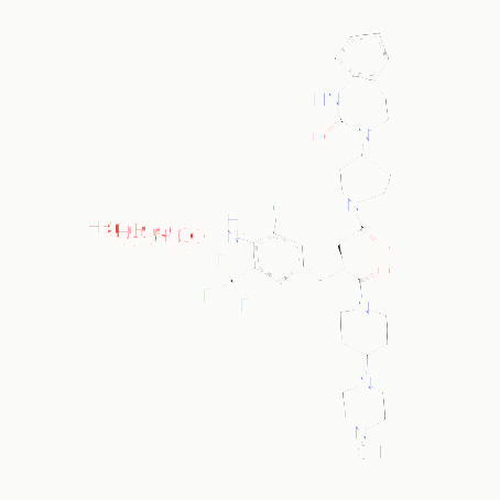 Br.CN1CCN(C2CCN(C(=O)[C@H](CC(=O)N3CCC(N4CCc5ccccc5NC4=O)CC3)Cc3cc(Cl)c(N)c(C(F)(F)F)c3)CC2)CC1.O.O.O.O.O